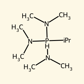 CC(C)[PH](N(C)C)(N(C)C)N(C)C